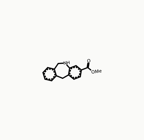 COC(=O)c1ccc2c(c1)NCc1ccccc1C2